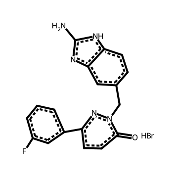 Br.Nc1nc2cc(Cn3nc(-c4cccc(F)c4)ccc3=O)ccc2[nH]1